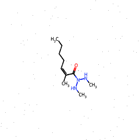 CCCCC=C(C)C(=O)N(NC)NC